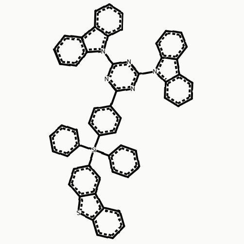 c1ccc([Si](c2ccccc2)(c2ccc(-c3nc(-n4c5ccccc5c5ccccc54)nc(-n4c5ccccc5c5ccccc54)n3)cc2)c2ccc3sc4ccccc4c3c2)cc1